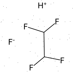 FC(F)C(F)F.[F-].[H+]